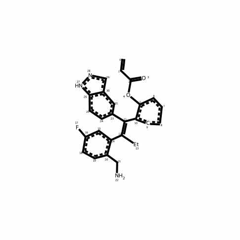 C=CC(=O)Oc1ccccc1/C(=C(\CC)c1cc(F)ccc1CN)c1ccc2[nH]ncc2c1